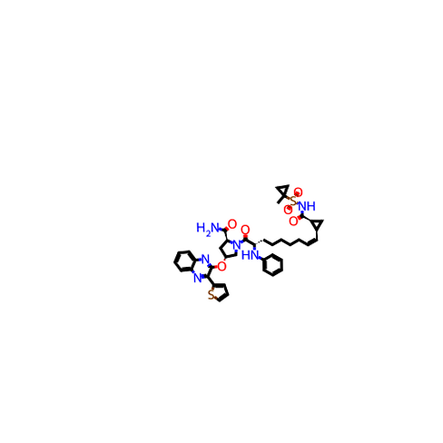 CC1(S(=O)(=O)NC(=O)[C@H]2C[C@H]2/C=C\CCCCC[C@H](Nc2ccccc2)C(=O)N2C[C@H](Oc3nc4ccccc4nc3-c3cccs3)C[C@H]2C(N)=O)CC1